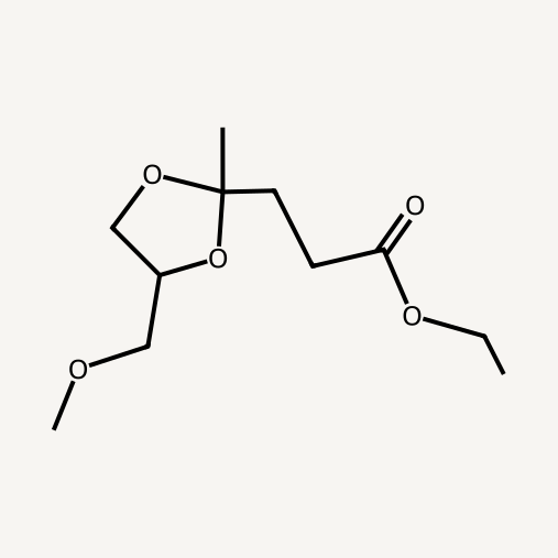 CCOC(=O)CCC1(C)OCC(COC)O1